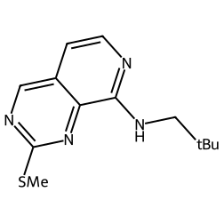 CSc1ncc2ccnc(NCC(C)(C)C)c2n1